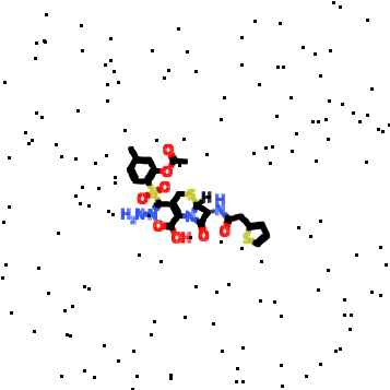 CC(=O)Oc1cc(C)ccc1S(=O)(=O)/C(=N\N)C1=C(C(=O)O)N2C(=O)[C@@H](NC(=O)Cc3cccs3)[C@H]2SC1